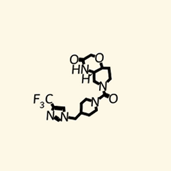 O=C1COC2CCN(C(=O)N3CCC(Cn4cnc(C(F)(F)F)c4)CC3)C[C@H]2N1